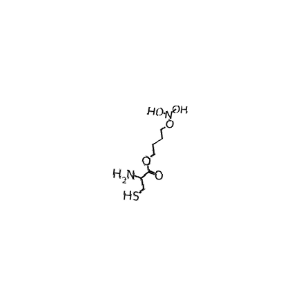 NC(CS)C(=O)OCCCCON(O)O